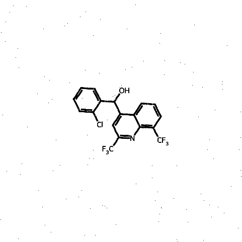 OC(c1ccccc1Cl)c1cc(C(F)(F)F)nc2c(C(F)(F)F)cccc12